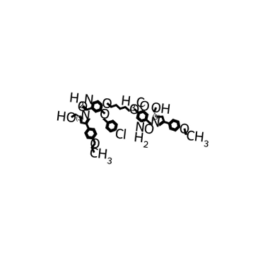 CCOc1ccc(C2=CN(C(=O)c3cc(OC)c(OCCCCCOc4cc(N)c(C(=O)N5C=C(c6ccc(OCC)cc6)C[C@H]5CO)cc4OCc4ccc(Cl)cc4)cc3N)[C@H](CO)C2)cc1